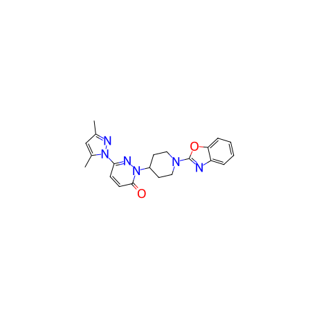 Cc1cc(C)n(-c2ccc(=O)n(C3CCN(c4nc5ccccc5o4)CC3)n2)n1